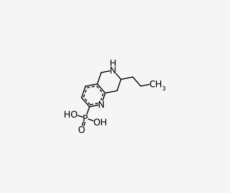 CCCC1Cc2nc(P(=O)(O)O)ccc2CN1